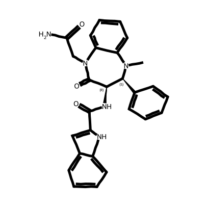 CN1c2ccccc2N(CC(N)=O)C(=O)[C@H](NC(=O)c2cc3ccccc3[nH]2)[C@@H]1c1ccccc1